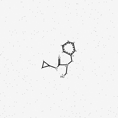 O=C(OC1CC1)N(CO)Cc1ccccc1